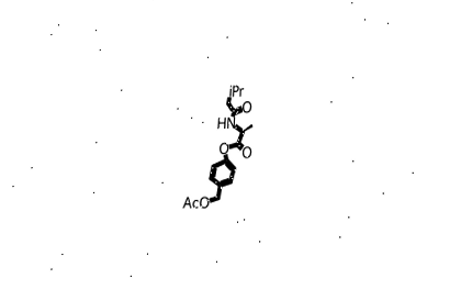 CC(=O)OCc1ccc(OC(=O)[C@H](C)NC(=O)CC(C)C)cc1